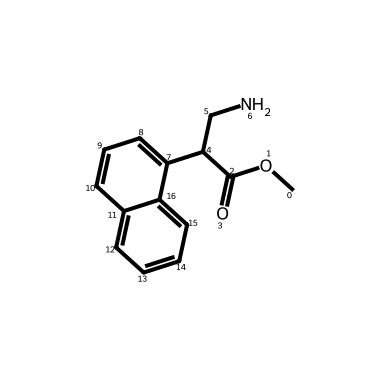 COC(=O)C(CN)c1cccc2ccccc12